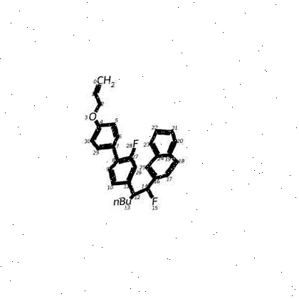 C=CCOc1ccc(-c2ccc(C(CCCC)C(F)c3ccc4ccccc4c3)cc2F)cc1